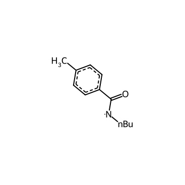 CCCC[N]C(=O)c1ccc(C)cc1